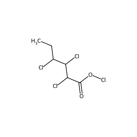 CCC(Cl)C(Cl)C(Cl)C(=O)OCl